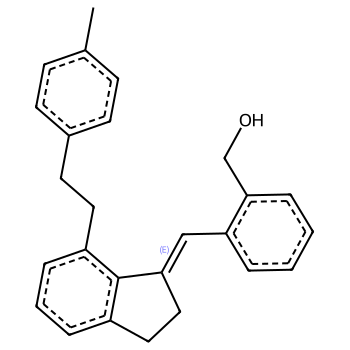 Cc1ccc(CCc2cccc3c2/C(=C/c2ccccc2CO)CC3)cc1